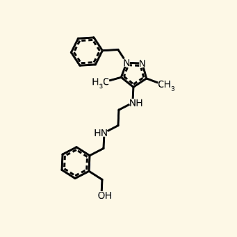 Cc1nn(Cc2ccccc2)c(C)c1NCCNCc1ccccc1CO